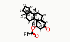 CCC(=O)OC1CC(=O)C=C2CC[C@@H]3[C@@H](CC[C@]4(C)CCC[C@@H]34)[C@]21C